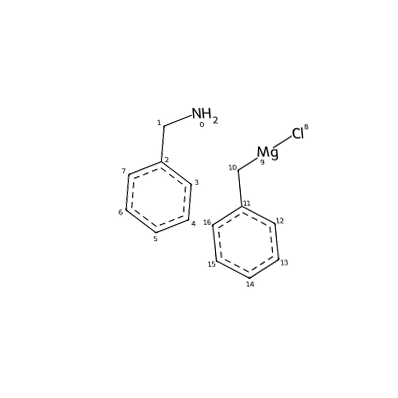 NCc1ccccc1.[Cl][Mg][CH2]c1ccccc1